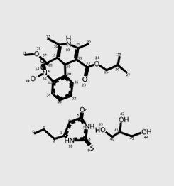 CCCc1cc(=O)[nH]c(=S)[nH]1.COC(=O)C1=C(C)NC(C)=C(C(=O)OCC(C)C)C1c1ccccc1[N+](=O)[O-].OCC(O)CO